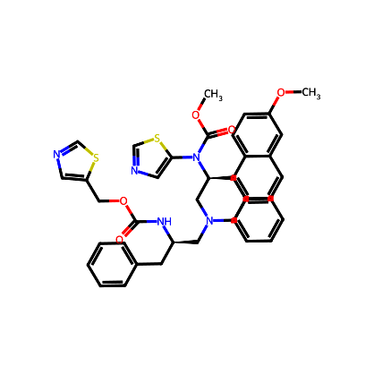 COC(=O)N(c1cncs1)[C@@H](Cc1ccccc1)CN(Cc1ccc2cc(OC)ccc2c1)C[C@@H](Cc1ccccc1)NC(=O)OCc1cncs1